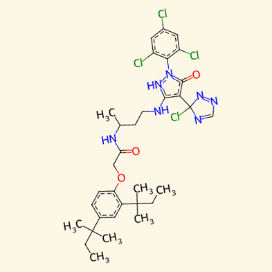 CCC(C)(C)c1ccc(OCC(=O)NC(C)CCNc2[nH]n(-c3c(Cl)cc(Cl)cc3Cl)c(=O)c2C2(Cl)N=CN=N2)c(C(C)(C)CC)c1